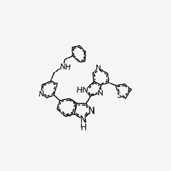 c1ccc(CNCc2cncc(-c3ccc4[nH]nc(-c5nc6c(-c7cccs7)cncc6[nH]5)c4c3)c2)cc1